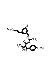 COC/C=C/c1cc(Cl)cc(CN/C(N)=N\C(=O)c2c(-c3ccc(OC)cc3)noc2C)c1